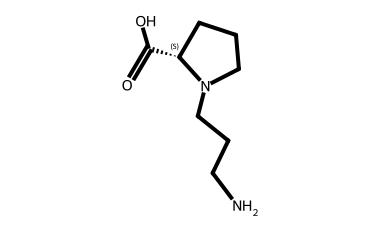 NCCCN1CCC[C@H]1C(=O)O